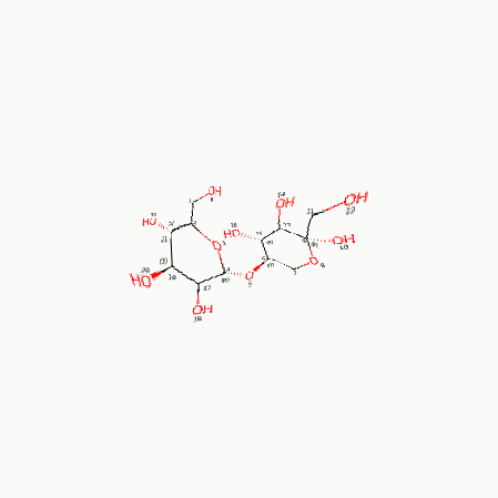 OCC1O[C@H](O[C@@H]2CO[C@](O)(CO)C(O)[C@H]2O)C(O)[C@@H](O)[C@@H]1O